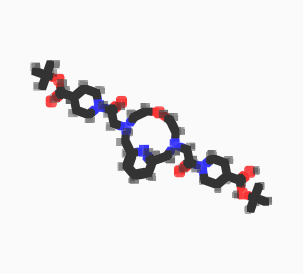 CC(C)(C)OC(=O)C1CCN(C(=O)CN2CCOCCN(CC(=O)N3CCC(C(=O)OC(C)(C)C)CC3)Cc3cccc(n3)C2)CC1